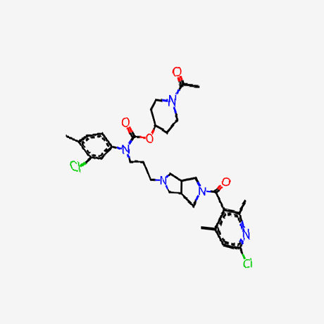 CC(=O)N1CCC(OC(=O)N(CCCN2CC3CN(C(=O)c4c(C)cc(Cl)nc4C)CC3C2)c2ccc(C)c(Cl)c2)CC1